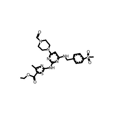 CCOC(=O)c1sc(Nc2nc(NCc3ccc(S(C)(=O)=O)cc3)cc(N3CCN(C=O)CC3)n2)nc1C